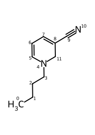 CCCCN1C=CC=C(C#N)C1